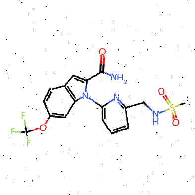 CS(=O)(=O)NCc1cccc(-n2c(C(N)=O)cc3ccc(OC(F)(F)F)cc32)n1